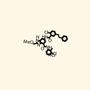 COCc1nc2c(C(=O)Nc3cccc(Cl)c3C)cc(NC(=O)c3cc(CCc4ccccc4)ccc3Cl)cc2[nH]1.Cl